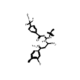 Cc1ccc(C(N)CC(N)N/C(=N\C(=O)c2ccc(C(F)(F)F)cc2)NC(C)(C)C)cc1F